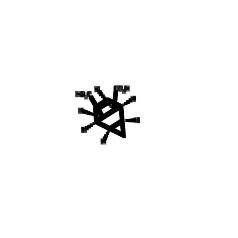 O=C(O)[C@@H]1[C@@H]2C=C[C@@H]([C@H]3C[C@@H]23)[C@@H]1C(=O)O